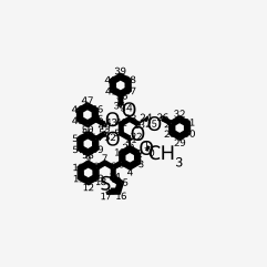 COc1ccc(C(Cc2ccccc2)c2cccs2)cc1[C@@H]1O[C@H](COCc2ccccc2)[C@@H](OCc2ccccc2)[C@H](OCc2ccccc2)[C@H]1OCc1ccccc1